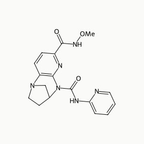 CONC(=O)c1ccc2c(n1)N(C(=O)Nc1ccccn1)C1CCN2C1